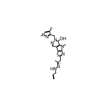 C=CCN/N=C(\C)Cc1nc2c(s1)c1c(n2C)C(O)N(Cc2nn(C)cc2F)N=C1